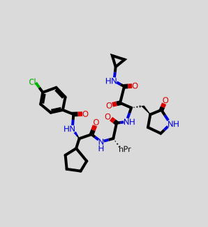 CCC[C@H](NC(=O)[C@H](NC(=O)c1ccc(Cl)cc1)C1CCCC1)C(=O)N[C@@H](C[C@@H]1CCNC1=O)C(=O)C(=O)NC1CC1